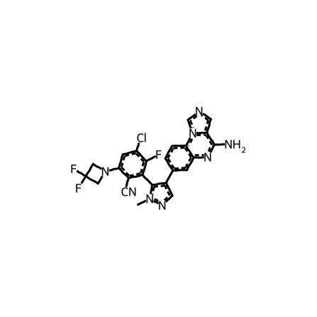 Cn1ncc(-c2ccc3c(c2)nc(N)c2cncn23)c1-c1c(F)c(Cl)cc(N2CC(F)(F)C2)c1C#N